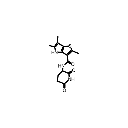 Cc1[nH]c2c(C(=O)NC3CCC(=O)NC3=O)c(C)sc2c1C